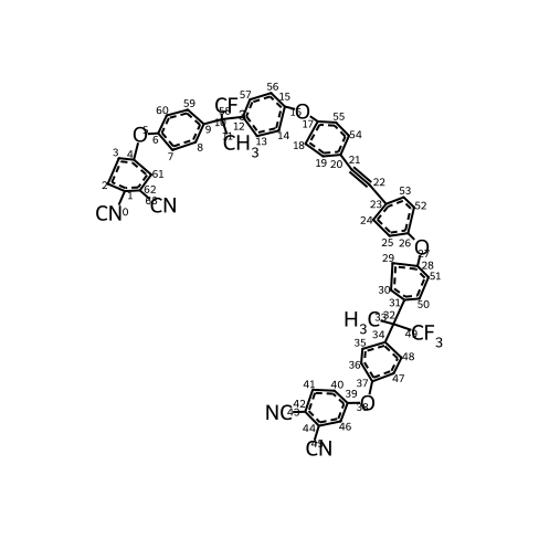 [C-]#[N+]c1ccc(Oc2ccc(C(C)(c3ccc(Oc4ccc(C#Cc5ccc(Oc6ccc(C(C)(c7ccc(Oc8ccc(C#N)c(C#N)c8)cc7)C(F)(F)F)cc6)cc5)cc4)cc3)C(F)(F)F)cc2)cc1C#N